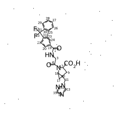 O=C(NCC(=O)N1C(C(=O)O)CC2(Cn3cncn3)CC12)c1ccc2c(c1)-c1ccccc1C2(F)F